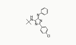 CC(C)(C)NC1=NC(c2ccc(Cl)cc2)=N/C1=N\c1ccccc1